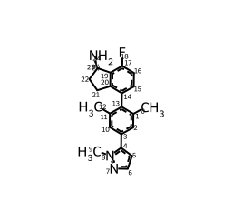 Cc1cc(-c2ccnn2C)cc(C)c1-c1ccc(F)c2c1CC[C@H]2N